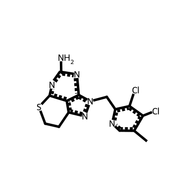 Cc1cnc(Cn2nc3c4c(nc(N)nc42)SCC3)c(Cl)c1Cl